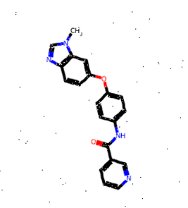 Cn1cnc2ccc(Oc3ccc(NC(=O)c4cccnc4)cc3)cc21